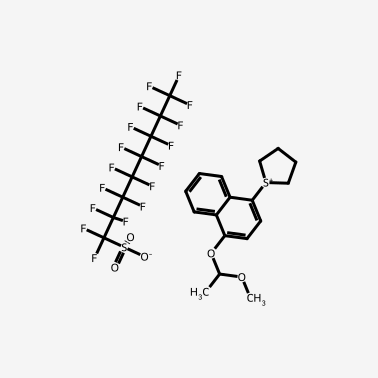 COC(C)Oc1ccc([S+]2CCCC2)c2ccccc12.O=S(=O)([O-])C(F)(F)C(F)(F)C(F)(F)C(F)(F)C(F)(F)C(F)(F)C(F)(F)C(F)(F)F